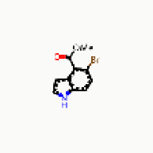 COC(=O)c1c(Br)ccc2[nH]ccc12